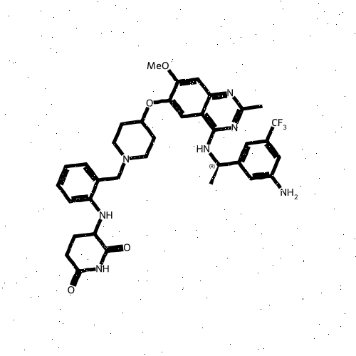 COc1cc2nc(C)nc(N[C@H](C)c3cc(N)cc(C(F)(F)F)c3)c2cc1OC1CCN(Cc2ccccc2NC2CCC(=O)NC2=O)CC1